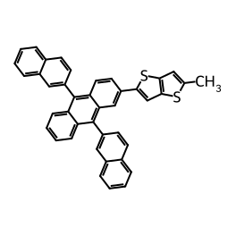 Cc1cc2sc(-c3ccc4c(-c5ccc6ccccc6c5)c5ccccc5c(-c5ccc6ccccc6c5)c4c3)cc2s1